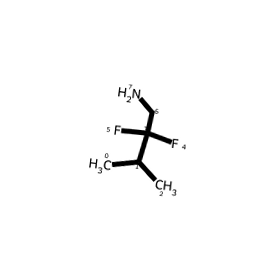 CC(C)C(F)(F)CN